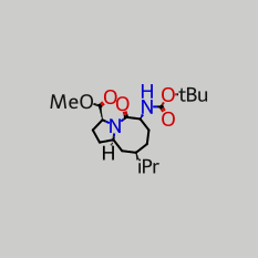 COC(=O)[C@@H]1CC[C@@H]2C[C@H](C(C)C)CC[C@H](NC(=O)OC(C)(C)C)C(=O)N21